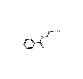 O=COCOC(=O)c1ccncc1